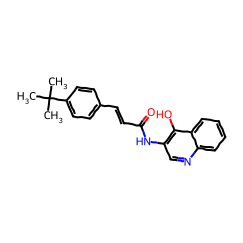 CC(C)(C)c1ccc(C=CC(=O)Nc2cnc3ccccc3c2O)cc1